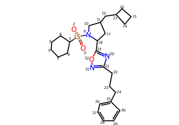 O=S(=O)(C1CCCCC1)N1CC(CC2CCC2)CC1c1nc(CCCc2ccccc2)no1